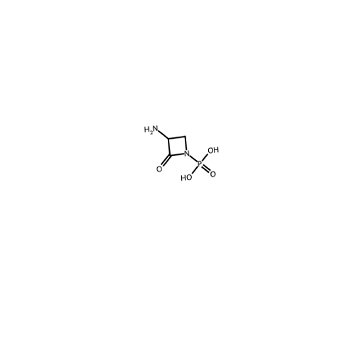 NC1CN(P(=O)(O)O)C1=O